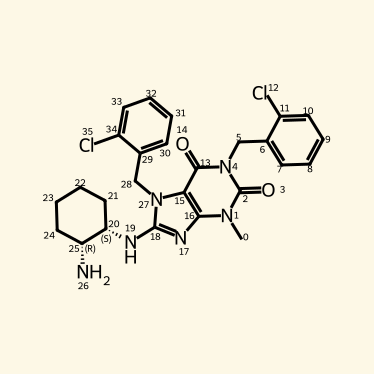 Cn1c(=O)n(Cc2ccccc2Cl)c(=O)c2c1nc(N[C@H]1CCCC[C@H]1N)n2Cc1ccccc1Cl